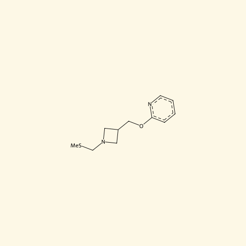 CSCN1CC(COc2ccccn2)C1